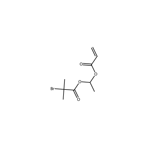 C=CC(=O)OC(C)OC(=O)C(C)(C)Br